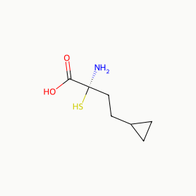 N[C@@](S)(CCC1CC1)C(=O)O